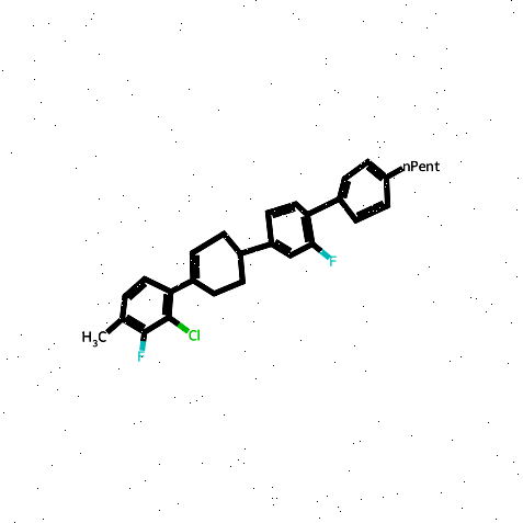 CCCCCc1ccc(-c2ccc(C3CC=C(c4ccc(C)c(F)c4Cl)CC3)cc2F)cc1